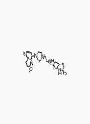 COc1ccc2nccc(N3CCN(CCNCc4ccc5c(n4)NC(=O)CS5)CC3)c2n1